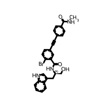 CNC(=O)c1ccc(C#Cc2ccc(Br)c(C(=O)N[C@@H](CO)Cc3c[nH]c4ccccc34)c2)cc1